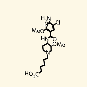 COc1nc(N)c(Cl)cc1C(=O)N[C@H]1CCN(CCCCCC(=O)O)C[C@H]1OC